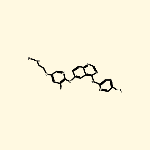 Cc1cnc(Nc2ncnc3ccc(Oc4ncc(OCCNC(C)C)cc4F)cc23)cn1